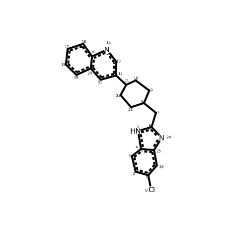 Clc1ccc2[nH]c(CC3CCC(c4cnc5ccccc5c4)CC3)nc2c1